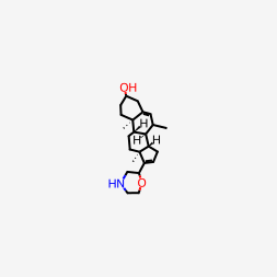 CC1C=C2CC(O)CC[C@]2(C)[C@H]2CC[C@]3(C)C(C4CNCCO4)=CC[C@H]3[C@H]12